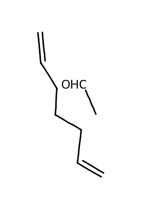 C=CCCCC=C.CC=O